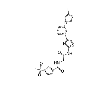 Cc1cn(-c2cccc(-c3csc(NC(=O)CNC(=O)c4ccn(S(C)(=O)=O)c4)n3)c2)cn1